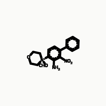 Nc1c([N+]2(C=O)CCOCC2)ccc(-c2ccccc2)c1[N+](=O)[O-]